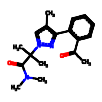 CC(=O)c1ccccc1-c1nn(C(C)(C)C(=O)N(C)C)cc1C